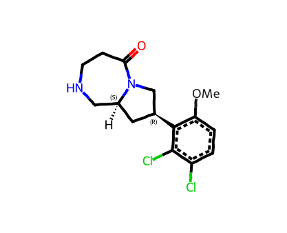 COc1ccc(Cl)c(Cl)c1[C@H]1C[C@H]2CNCCC(=O)N2C1